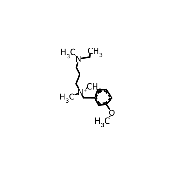 CCN(C)CCC[N+](C)(C)Cc1cccc(OC)c1